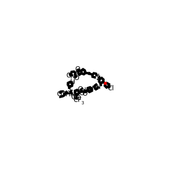 C[C@@]1(CN2CCC(C#Cc3ccc4c(c3)CN(C3CCC(=O)NC3=O)C4=O)CC2)CCC(c2ccc(Cl)cc2)=C(CN2CCN(c3ccc(C(=O)NS(=O)(=O)c4ccc(N[C@H](CCN5CCCOCC5)CSc5ccccc5)c(S(=O)(=O)C(F)(F)F)c4)cc3)CC2)C1